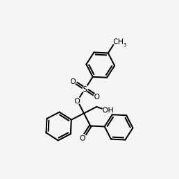 Cc1ccc(S(=O)(=O)OC(CO)(C(=O)c2ccccc2)c2ccccc2)cc1